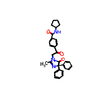 CC1=NC(c2ccccc2)(c2ccccc2)C(=O)N1CC(=O)c1ccc(C(=O)NC2CCCC2)cc1